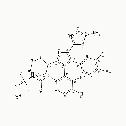 CC(C)(CO)NC(=O)Cc1ccc(Cl)c(F)c1-n1c(C2CCCCC2)nc(-c2nnc(N)o2)c1-c1ccc(F)c(Cl)c1